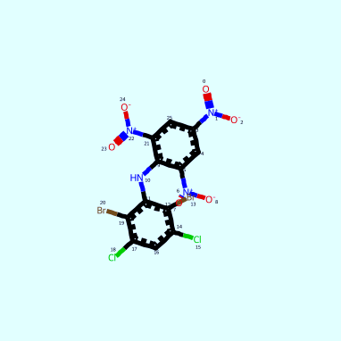 O=[N+]([O-])c1cc([N+](=O)[O-])c(Nc2c(Br)c(Cl)cc(Cl)c2Br)c([N+](=O)[O-])c1